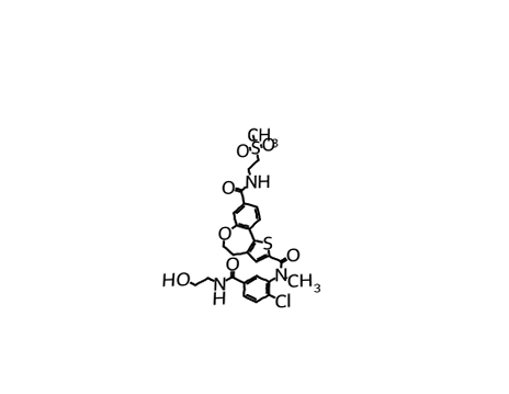 CN(C(=O)c1cc2c(s1)-c1ccc(C(=O)NCCS(C)(=O)=O)cc1OCC2)c1cc(C(=O)NCCO)ccc1Cl